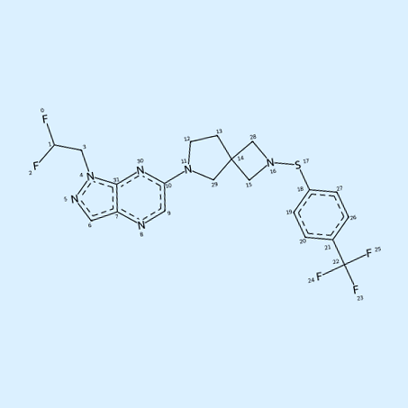 FC(F)Cn1ncc2ncc(N3CCC4(CN(Sc5ccc(C(F)(F)F)cc5)C4)C3)nc21